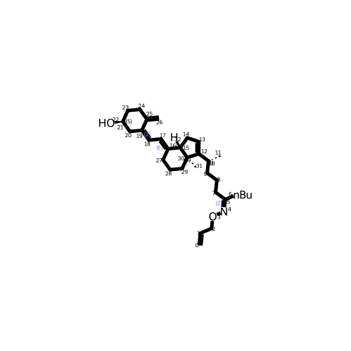 C=CCO/N=C(/CCCC)CCC[C@@H](C)C1=CC[C@H]2/C(=C/C=C3/C[C@@H](O)CCC3=C)CCC[C@]12C